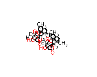 CCC(C)(C)C(=O)O[C@H]1C[C@@H](C)C=C2C=C[C@H](C)[C@H](CC[C@@H]3C[C@@H](O)CC(=O)O3)[C@H]21.CCC(C)(C)C(=O)O[C@H]1C[C@@H](C)C=C2C=C[C@H](C)[C@H](CC[C@@H]3C[C@@H](O)CC(=O)O3)[C@H]21